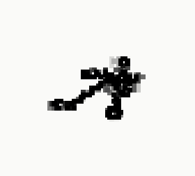 CCCCCCCCCCCCCCCCCC(=O)N(CCCCCCCC)[C@@H]1O[C@H](CO)[C@@H](O)[C@H](O)[C@H]1NC(=O)OCc1ccccc1